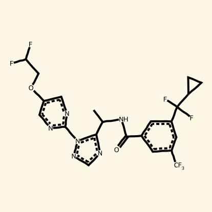 CC(NC(=O)c1cc(C(F)(F)F)cc(C(F)(F)C2CC2)c1)c1ncnn1-c1ncc(OCC(F)F)cn1